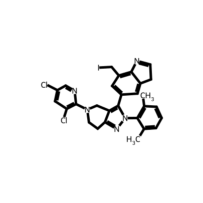 Cc1cccc(C)c1-n1nc2c(c1-c1cc(CI)c3c(c1)CC=N3)CN(c1ncc(Cl)cc1Cl)CC2